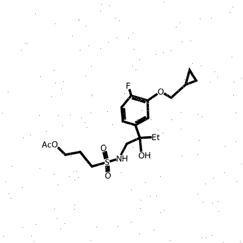 CCC(O)(CNS(=O)(=O)CCCOC(C)=O)c1ccc(F)c(OCC2CC2)c1